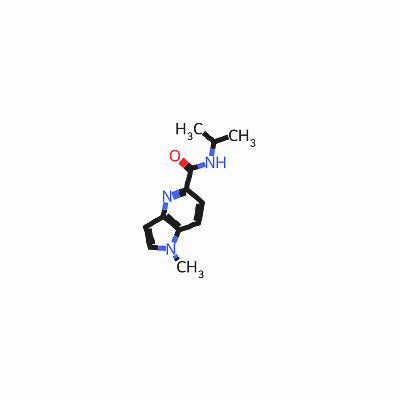 CC(C)NC(=O)c1ccc2c(ccn2C)n1